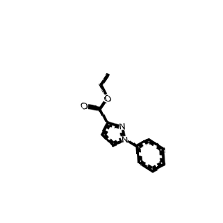 CCOC(=O)c1ccn(-c2ccccc2)n1